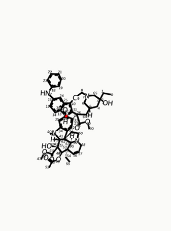 CC[C@]1(O)C[C@H]2CN(CCc3c([nH]c4ccc(Nc5ccccc5)cc34)[C@@](C(=O)OC)(c3cc4c(cc3OC)N(C)[C@H]3[C@@](O)(C(=O)OC)[C@H](OC(C)=O)[C@]5(CC)C=CCN6CC[C@]43[C@@H]65)C2)C1